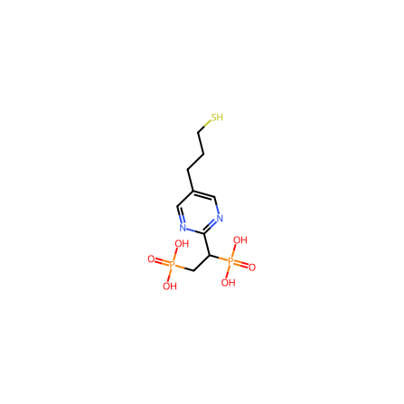 O=P(O)(O)CC(c1ncc(CCCS)cn1)P(=O)(O)O